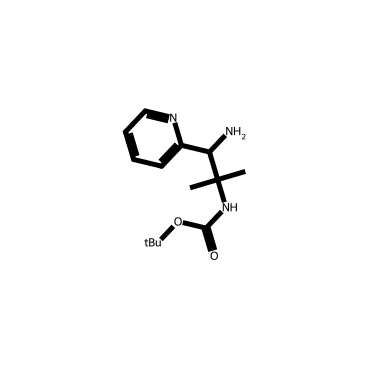 CC(C)(C)OC(=O)NC(C)(C)C(N)c1ccccn1